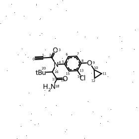 C#CC(=O)N(c1ccc(OC2CC2)c(Cl)c1)C(C(N)=O)C(C)(C)C